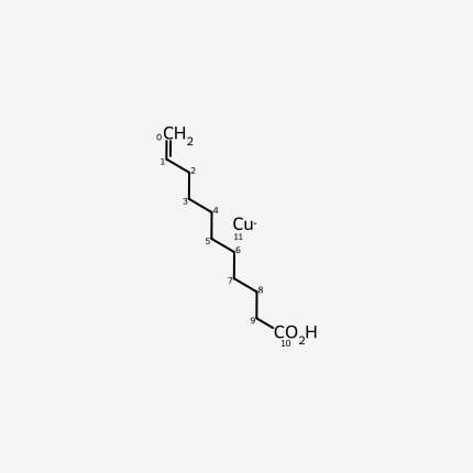 C=CCCCCCCCCC(=O)O.[Cu]